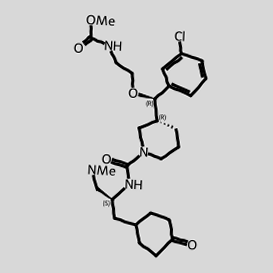 CNC[C@H](CC1CCC(=O)CC1)NC(=O)N1CCC[C@@H]([C@@H](OCCNC(=O)OC)c2cccc(Cl)c2)C1